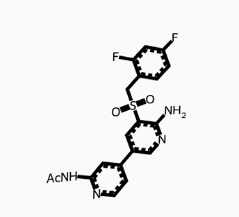 CC(=O)Nc1cc(-c2cnc(N)c(S(=O)(=O)Cc3ccc(F)cc3F)c2)ccn1